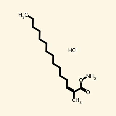 CCCCCCCCCCCCC=C(C)C(=O)ON.Cl